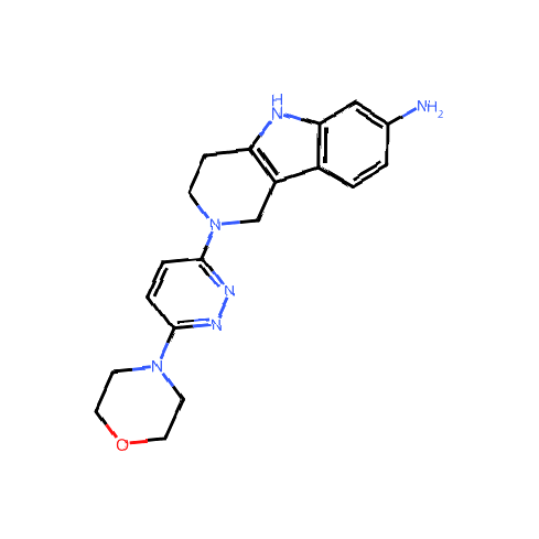 Nc1ccc2c3c([nH]c2c1)CCN(c1ccc(N2CCOCC2)nn1)C3